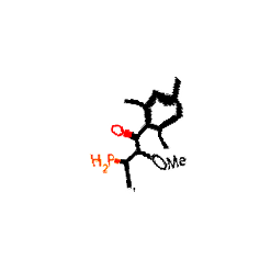 [CH2]C(P)C(OC)C(=O)c1c(C)cc(C)cc1C